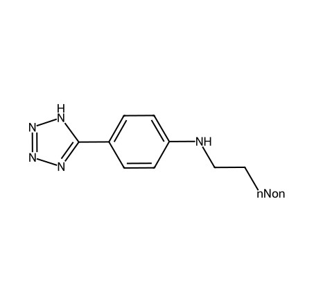 CCCCCCCCCCCNc1ccc(-c2nnn[nH]2)cc1